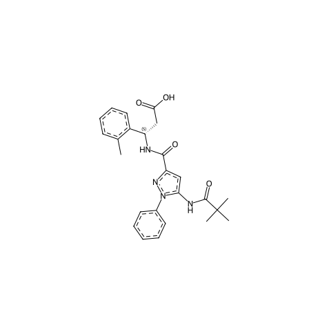 Cc1ccccc1[C@H](CC(=O)O)NC(=O)c1cc(NC(=O)C(C)(C)C)n(-c2ccccc2)n1